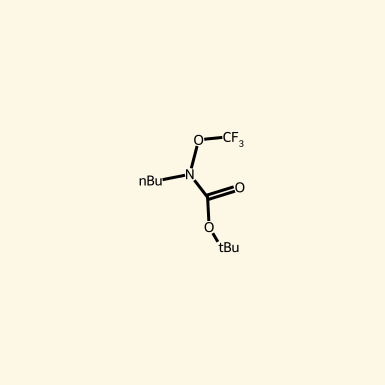 CCCCN(OC(F)(F)F)C(=O)OC(C)(C)C